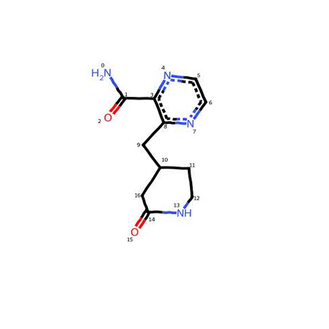 NC(=O)c1nccnc1CC1CCNC(=O)C1